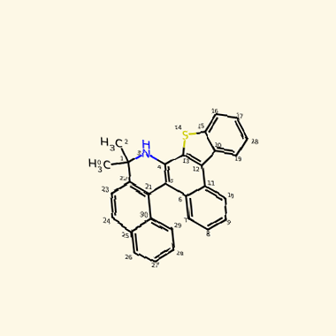 CC1(C)Nc2c(c3ccccc3c3c2sc2ccccc23)-c2c1ccc1ccccc21